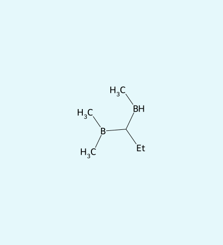 CBC(CC)B(C)C